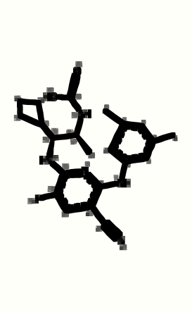 Cc1cc(C)cc(Nc2nc(N[C@@H](C3CCC3)[C@H](C)NC(=O)O)c(F)cc2C#N)c1